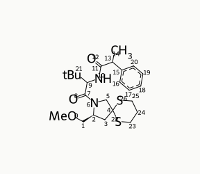 COC[C@@H]1CC2(CN1C(=O)C(NC(=O)C(C)c1ccccc1)C(C)(C)C)SCCCS2